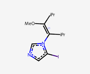 CO/C(=C(/C(C)C)n1cncc1I)C(C)C